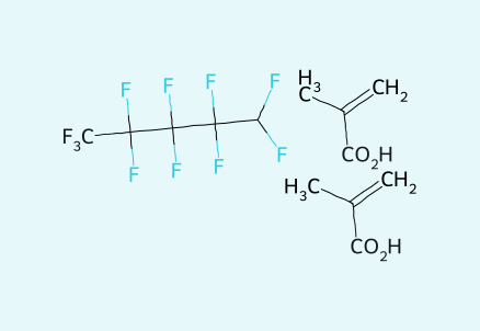 C=C(C)C(=O)O.C=C(C)C(=O)O.FC(F)C(F)(F)C(F)(F)C(F)(F)C(F)(F)F